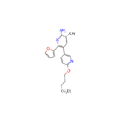 CCOC(=O)CCCOc1ccc(-c2cc(C#N)c(N)nc2-c2ccco2)cn1